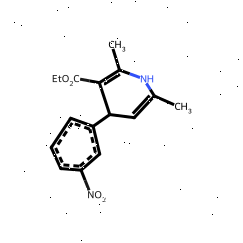 CCOC(=O)C1=C(C)NC(C)=CC1c1cccc([N+](=O)[O-])c1